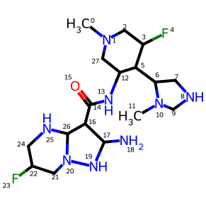 CN1CC(F)C(C2CNCN2C)C(NC(=O)C2C(N)NN3CC(F)CNC23)C1